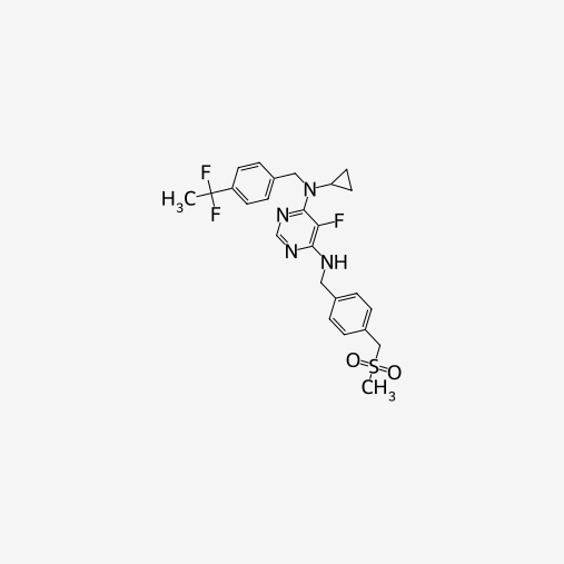 CC(F)(F)c1ccc(CN(c2ncnc(NCc3ccc(CS(C)(=O)=O)cc3)c2F)C2CC2)cc1